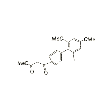 COC(=O)CC(=O)c1ccc(-c2c(C)cc(OC)cc2OC)cc1